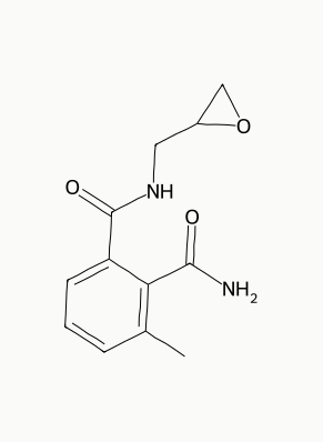 Cc1cccc(C(=O)NCC2CO2)c1C(N)=O